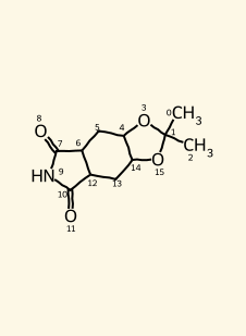 CC1(C)OC2CC3C(=O)NC(=O)C3CC2O1